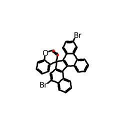 Brc1ccc2c3c(c4ccccc4c2c1)-c1c(cc(Br)c2ccccc12)C31c2ccccc2Oc2ccccc21